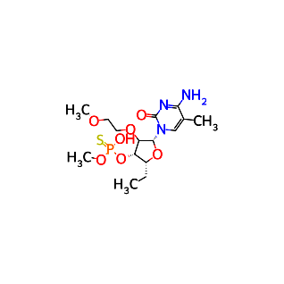 CC[C@H]1O[C@@H](n2cc(C)c(N)nc2=O)C(OCCOC)[C@H]1OP(O)(=S)OC